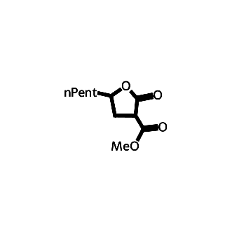 CCCCCC1CC(C(=O)OC)C(=O)O1